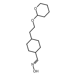 ON=CC1CCC(CCOC2CCCCO2)CC1